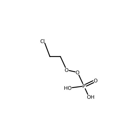 O=P(O)(O)OOCCCl